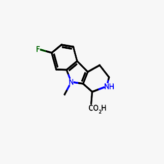 Cn1c2c(c3ccc(F)cc31)CCNC2C(=O)O